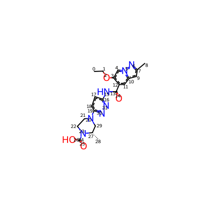 CCOc1cn2nc(C)cc2cc1C(=O)Nc1ccc(N2CCN(C(=O)O)[C@@H](C)C2)nn1